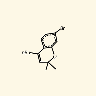 CCCCC1=CC(C)(C)Oc2cc(Br)ccc21